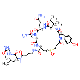 CC[C@H](C)[C@@H]1NC(=O)[C@@H](Cc2ccc(O)cc2)NC(=O)CC[S+]([O-])CC[C@@H](C(=O)NCCCC(=O)N[C@@H](CC(C)C)C(=O)NCC(N)=O)NC(=O)[C@H](CC(N)=O)NC(=O)[C@H](CCC(N)=O)NC1=O